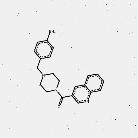 Bc1ccc(CN2CCN(C(=O)c3cnc4ccccc4c3)CC2)cc1